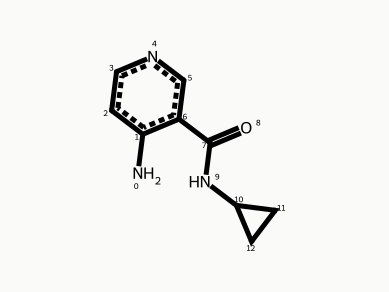 Nc1ccncc1C(=O)NC1CC1